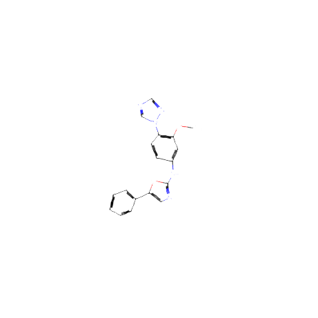 COc1cc(Nc2ncc(-c3ccccc3)o2)ccc1-n1cncn1